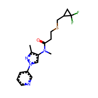 Cc1nn(-c2cccnc2)cc1N(C)C(=O)CCSCC1CC1(F)F